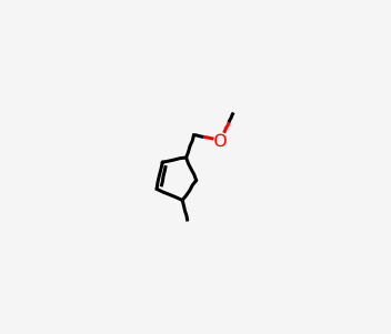 COCC1C=CC(C)C1